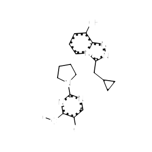 CCOc1nc(N2CC[C@H](c3ccc(C(F)(F)F)c4nnc(CC5CC5)n34)C2)ncc1Cl